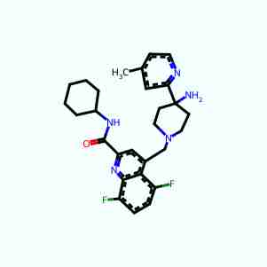 Cc1ccnc(C2(N)CCN(Cc3cc(C(=O)NC4CCCCC4)nc4c(F)ccc(F)c34)CC2)c1